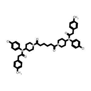 Cc1ccc(CC(=O)N(c2ccc(Cl)cc2)C2CCN(C(=O)CCCCC(=O)N3CCC(N(C(=O)Cc4ccc(C)cc4)c4ccc(Cl)cc4)CC3)CC2)cc1